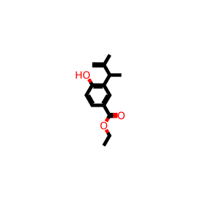 C=C(C)C(C)c1cc(C(=O)OCC)ccc1O